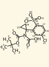 CC(C)(C)OC(=O)N(C(=O)O)C1(c2cc(Cl)ccc2S(=O)(=O)Cl)CC1